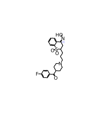 O=C(c1ccc(F)cc1)C1CCN(CCCC2C/C(=N/O)c3ccccc3S2(=O)=O)CC1